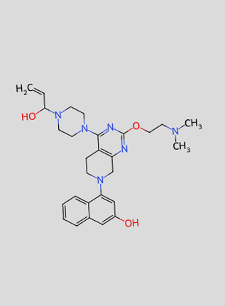 C=CC(O)N1CCN(c2nc(OCCN(C)C)nc3c2CCN(c2cc(O)cc4ccccc24)C3)CC1